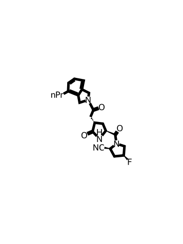 CCCc1cccc2c1CN(C(=O)C[C@@H]1C[C@@H](C(=O)N3C[C@@H](F)C[C@H]3C#N)NC1=O)C2